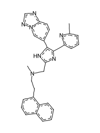 Cc1cccc(-c2nc(CN(C)CCc3cccc4ccccc34)[nH]c2-c2ccc3ncnn3c2)n1